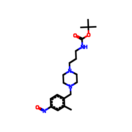 Cc1cc(N=O)ccc1CN1CCN(CCCNC(=O)OC(C)(C)C)CC1